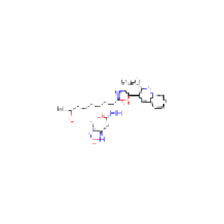 CCC(=O)CCCCCC(NC(=O)Cc1nonc1C)c1ncc(-c2cc3ccccc3nc2OC)o1